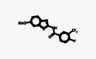 COc1ccc2nc(NC(=O)c3ccc(F)c(C(F)(F)F)c3)sc2c1